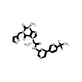 C[C@@H](C(=O)Nc1cncc(-c2ccc(C(C)(F)F)nc2)n1)n1cnc2c1c(=O)n(Cc1ccon1)c(=O)n2C